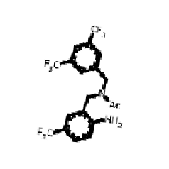 CC(=O)N(Cc1cc(C(F)(F)F)cc(C(F)(F)F)c1)Cc1cc(C(F)(F)F)ccc1N